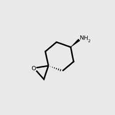 N[C@H]1CC[C@]2(CC1)CO2